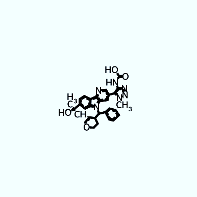 Cn1nnc(NC(=O)O)c1-c1cnc2c3ccc(C(C)(C)O)cc3n(C(c3ccccc3)C3CCOCC3)c2c1